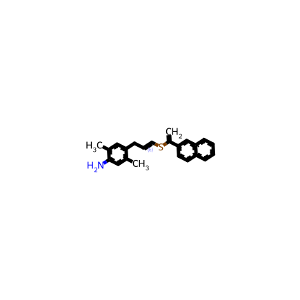 C=C(S/C=C/Cc1cc(C)c(N)cc1C)c1ccc2ccccc2c1